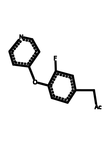 CC(=O)Cc1ccc(Oc2ccncc2)c(F)c1